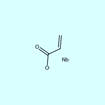 C=CC([O])=O.[Nb]